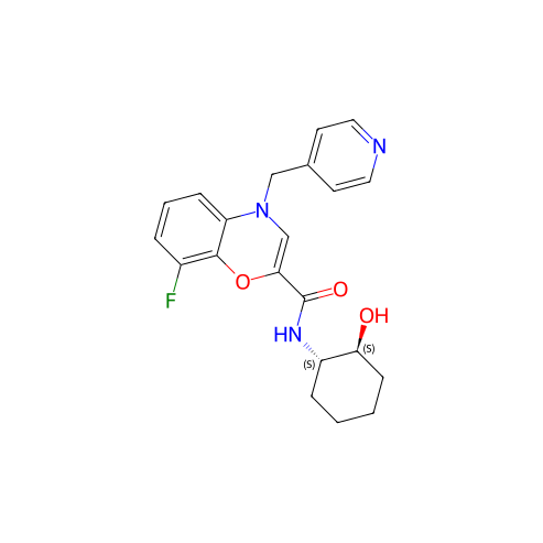 O=C(N[C@H]1CCCC[C@@H]1O)C1=CN(Cc2ccncc2)c2cccc(F)c2O1